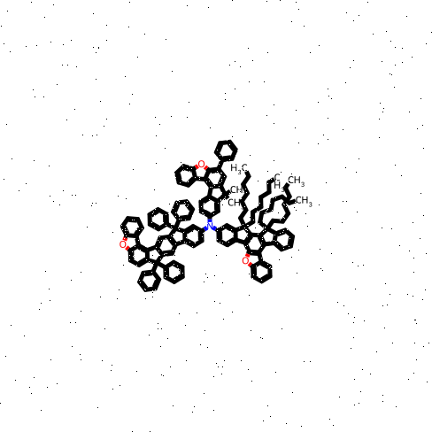 CCCCCCCC1(CCCCCCC)c2cc(N(c3ccc4c(c3)C(C)(C)c3cc(-c5ccccc5)c5oc6ccccc6c5c3-4)c3ccc4c(c3)C(c3ccccc3)(c3ccccc3)c3cc5c(cc3-4)C(c3ccccc3)(c3ccccc3)c3ccc4oc6ccccc6c4c3-5)ccc2-c2c1c1c(c3c2oc2ccccc23)-c2ccccc2C1(CCCCCCC)CCCCCCC